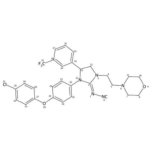 [C-]#[N+]/N=C1\N(CCN2CCOCC2)CC(c2cccc(C(F)(F)F)c2)N1c1ccc(Oc2ccc(Cl)cc2)cc1